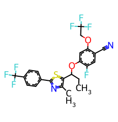 CCC(Oc1cc(OCC(F)(F)F)c(C#N)cc1F)c1sc(-c2ccc(C(F)(F)F)cc2)nc1C